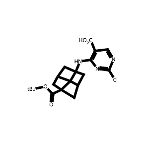 CC(C)(C)OC(=O)C12CC3CC4(Nc5nc(Cl)ncc5C(=O)O)CC(C1)C342